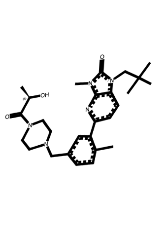 Cc1ccc(CN2CCN(C(=O)[C@@H](C)O)CC2)cc1-c1ccc2c(n1)n(C)c(=O)n2CC(C)(C)C